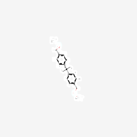 CC(C)OCc1ccc(C(C)(C)c2ccc(COC(C)C)cc2)cc1